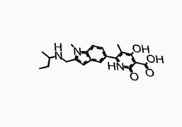 CCC(C)NCc1cc2cc(-c3[nH]c(=O)c(C(=O)O)c(O)c3C)ccc2n1C